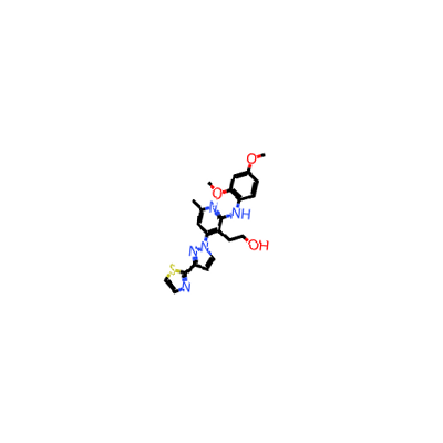 COc1ccc(Nc2nc(C)cc(-n3ccc(-c4nccs4)n3)c2CCO)c(OC)c1